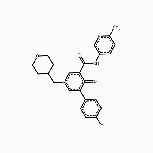 Cc1ccc(NC(=O)c2cn(CC3CCOCC3)cc(-c3ccc(F)cc3)c2=O)cn1